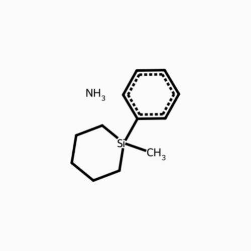 C[Si]1(c2ccccc2)CCCCC1.N